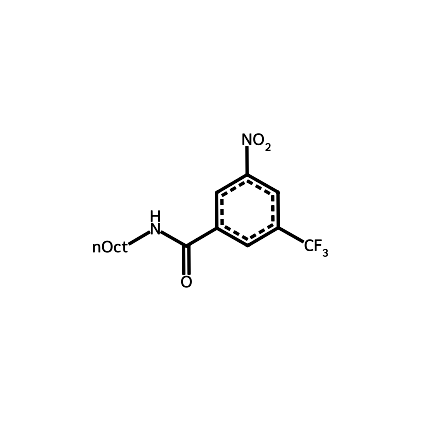 CCCCCCCCNC(=O)c1cc([N+](=O)[O-])cc(C(F)(F)F)c1